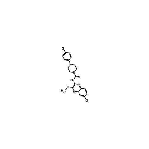 COc1nc2cc(Cl)ccc2nc1NC(=O)N1CCN(c2ccc(Cl)cc2)CC1